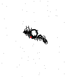 CC1(S(=O)(=O)NC(=O)[C@@]23C[C@H]2/C=C\CCCCC[C@H](Nc2cccc(NC(=O)N4CCOCC4)c2)C(=O)N2CCC[C@H]2C(=O)N3)CC1